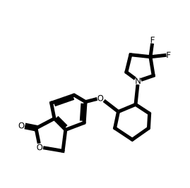 O=C1OCc2cc(OC3CCCCC3N3CCC(F)(F)C3)ccc21